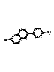 Oc1ccc(-c2cnc3cc(O)ccc3c2)cc1